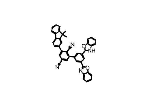 CC1(C)c2ccccc2-c2ccc(-c3cc(C#N)cc(-c4cc(-c5nc6ccccc6o5)cc(C5Nc6ccccc6O5)c4)c3C#N)cc21